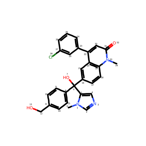 Cn1cncc1C(O)(c1ccc(CO)cc1)c1ccc2c(c1)c(-c1cccc(Cl)c1)cc(=O)n2C